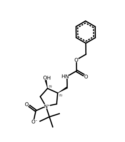 CC(C)(C)[N+]1(C(=O)[O-])C[C@H](CNC(=O)OCc2ccccc2)[C@H](O)C1